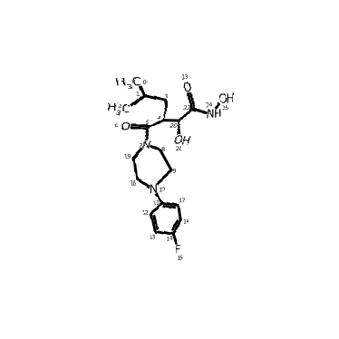 CC(C)C[C@H](C(=O)N1CCN(c2ccc(F)cc2)CC1)[C@H](O)C(=O)NO